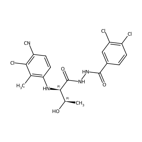 [C-]#[N+]c1ccc(N[C@@H](C(=O)NNC(=O)c2ccc(Cl)c(Cl)c2)[C@@H](C)O)c(C)c1Cl